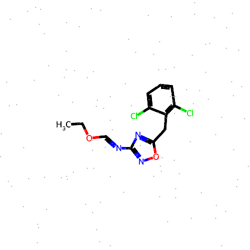 CCOC=Nc1noc(Cc2c(Cl)cccc2Cl)n1